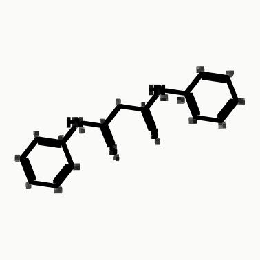 S=C(CC(=S)Nc1ccccc1)Nc1ccccc1